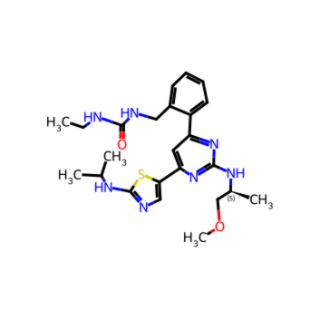 CCNC(=O)NCc1ccccc1-c1cc(-c2cnc(NC(C)C)s2)nc(N[C@@H](C)COC)n1